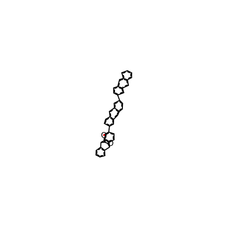 O=C1C(=O)C2c3ccccc3C1c1ccc(-c3ccc4cc5cc(-c6ccc7cc8ccccc8cc7c6)ccc5cc4c3)cc12